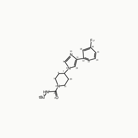 CC(C)(C)NC(=O)N1CCC(n2cnc(-c3cccc(F)c3)c2)CC1